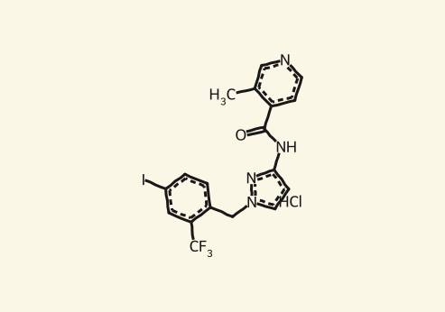 Cc1cnccc1C(=O)Nc1ccn(Cc2ccc(I)cc2C(F)(F)F)n1.Cl